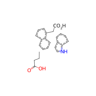 CCCC(=O)O.O=C(O)Cc1cccc2ccccc12.c1ccc2[nH]ccc2c1